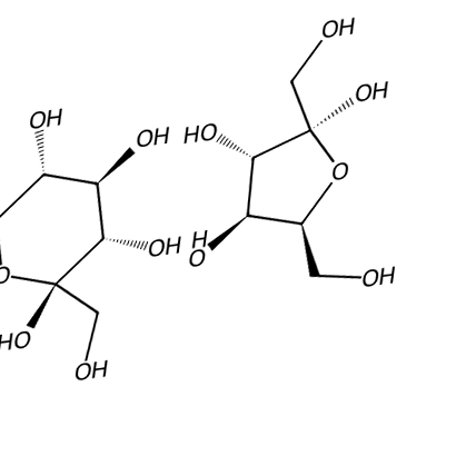 OC[C@@H]1O[C@](O)(CO)[C@@H](O)[C@@H]1O.OC[C@]1(O)OC[C@H](O)[C@@H](O)[C@@H]1O